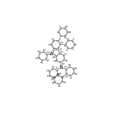 c1ccc(-c2ccccc2-c2cccc3c2c2ccc(N(c4ccccc4)c4ccccc4-c4ccccc4)cc2n3-c2ccccc2)cc1